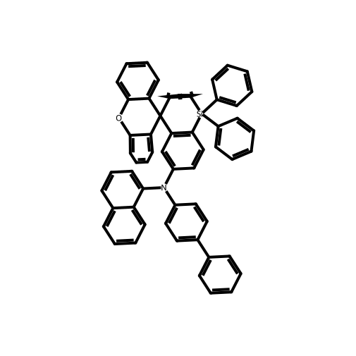 c1ccc(-c2ccc(N(c3ccc4c(c3)C3(c5ccccc5Oc5ccccc53)c3ccccc3[Si]4(c3ccccc3)c3ccccc3)c3cccc4ccccc34)cc2)cc1